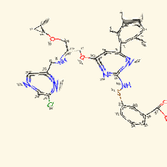 Cc1cccc(C)c1-c1cc(OC[C@@H](COC2CC2)NCc2cncc(Cl)n2)nc(NSc2cccc(C(=O)O)c2)n1